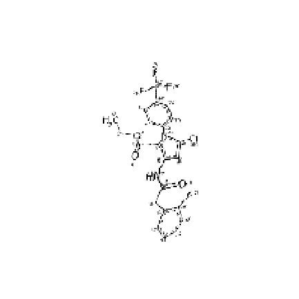 CCOC(=O)c1c(NC(=O)Cc2ccccc2F)cc(Cl)n1-c1ccc(C(F)(F)F)cc1